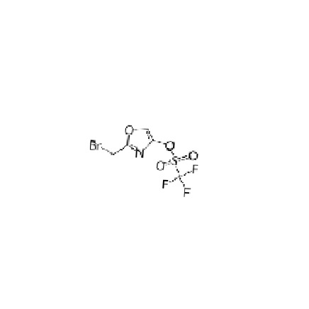 O=S(=O)(Oc1coc(CBr)n1)C(F)(F)F